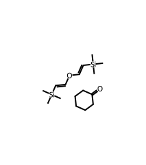 C[Si](C)(C)C=COC=C[Si](C)(C)C.O=C1CCCCC1